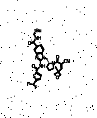 CC(C)(C)CNC(=O)c1ccc2c(c1)nc(NC(=O)c1ccc(C(F)F)s1)n2C[C@H]1CCCN1C(=O)C(C#N)=CC1(C)COC1